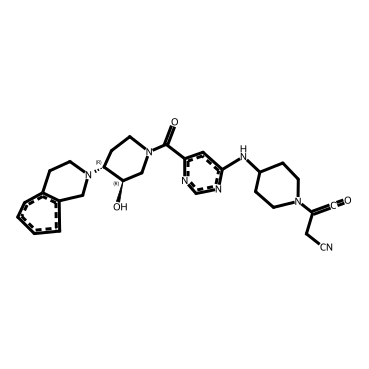 N#CCC(=C=O)N1CCC(Nc2cc(C(=O)N3CC[C@@H](N4CCc5ccccc5C4)[C@H](O)C3)ncn2)CC1